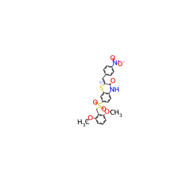 COc1cccc(OC)c1CS(=O)(=O)c1ccc2c(c1)S/C(=C/c1ccc([N+](=O)[O-])cc1)C(=O)N2